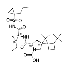 CCCC1(S(=O)(=O)NC(=O)[C@@]2(NC(=O)[C@@H]3C[C@@]4(CN3C(=O)O)C(C)(C)C43CCC3C(C)(C)C)C[C@H]2CC)CC1